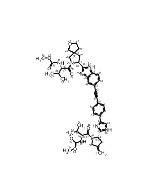 C=C1C[C@@H](c2nc(-c3ccc(C#Cc4ccc5[nH]c([C@@H]6C[C@@]7(CCOC7)CN6C(=O)[C@@H](NC(=O)OC)C(C)C)nc5c4)cc3)c[nH]2)N(C(=O)[C@@H](NC(=O)OC)C(C)C)C1